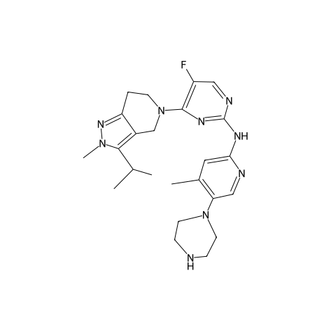 Cc1cc(Nc2ncc(F)c(N3CCc4nn(C)c(C(C)C)c4C3)n2)ncc1N1CCNCC1